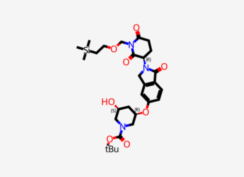 CC(C)(C)OC(=O)N1C[C@@H](O)C[C@@H](Oc2ccc3c(c2)CN([C@@H]2CCC(=O)N(COCC[Si](C)(C)C)C2=O)C3=O)C1